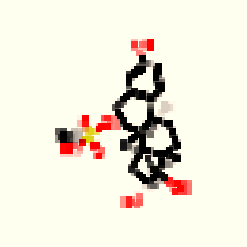 C[C@]12CC[C@@H]3c4ccc(O)cc4CC[C@H]3[C@@H]1C[C@@H](O)[C@@H]2O.O=S(=O)(O)O.[NaH]